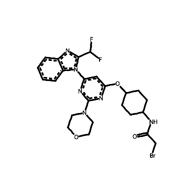 O=C(CBr)NC1CCC(Oc2cc(-n3c(C(F)F)nc4ccccc43)nc(N3CCOCC3)n2)CC1